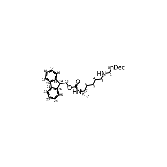 CCCCCCCCCCCNCCCC[C@H](C)NC(=O)OCC1c2ccccc2-c2ccccc21